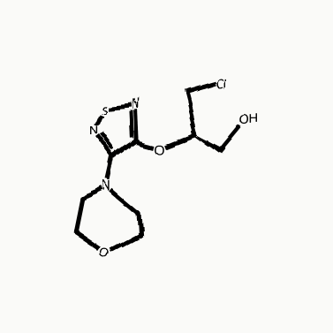 OC[C@H](CCl)Oc1nsnc1N1CCOCC1